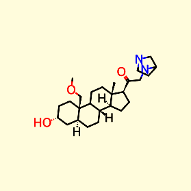 COC[C@]12CC[C@@H](O)C[C@@H]1CC[C@@H]1C2CC[C@]2(C)[C@@H](C(=O)CN3C4CC[N@@]3C4)CC[C@@H]12